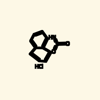 Cl.N=S(=O)=O.c1ccc2ccccc2c1